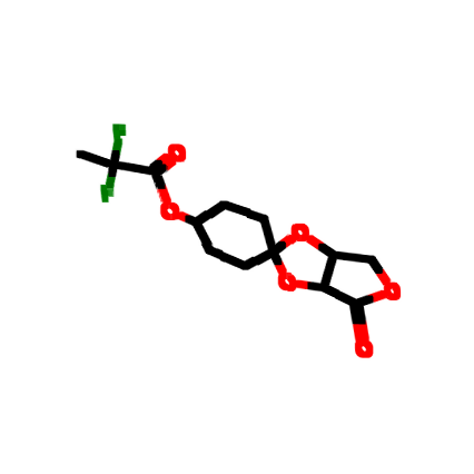 CC(F)(F)C(=O)OC1CCC2(CC1)OC1COC(=O)C1O2